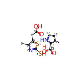 Cc1nc(S)sc1CC(=O)O.O=C(O)c1ccc[nH]1